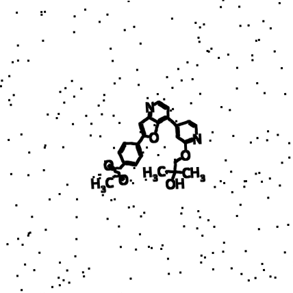 CC(C)(O)COc1cc(-c2ccnc3cc(-c4ccc(S(C)(=O)=O)cc4)oc23)ccn1